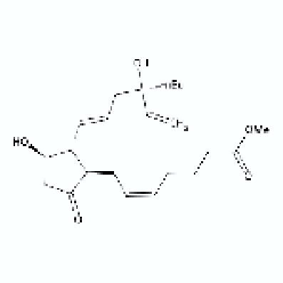 C=C[C@](O)(C/C=C/[C@H]1[C@H](O)CC(=O)[C@@H]1C/C=C\CCCC(=O)OC)CCCC